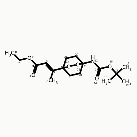 CCOC(=O)C=C(C)C12CCC(NC(=O)OC(C)(C)C)(CC1)CC2